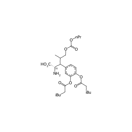 CCCOC(=O)OCC(C)C(c1ccc(OC(=O)CC(C)CC)c(OC(=O)CC(C)CC)c1)[C@H](N)C(=O)O